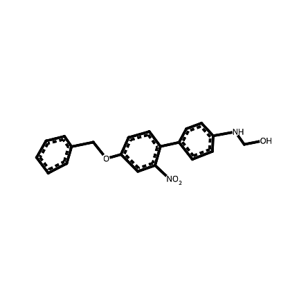 O=[N+]([O-])c1cc(OCc2ccccc2)ccc1-c1ccc(NCO)cc1